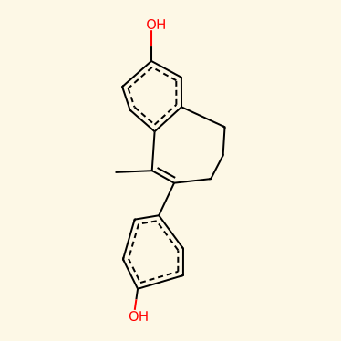 CC1=C(c2ccc(O)cc2)CCCc2cc(O)ccc21